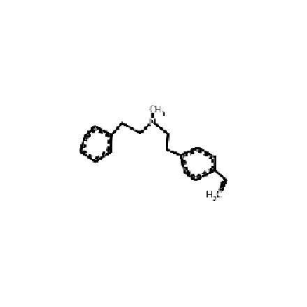 C=Cc1ccc(CCN(C)CCc2ccccc2)cc1